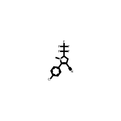 CN1C(c2ccc(Cl)cc2)=C(C#N)CC1C(F)(F)C(F)(F)F